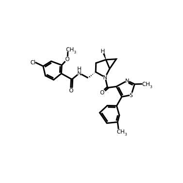 COc1cc(Cl)ccc1C(=O)NC[C@@H]1C[C@@H]2CC2N1C(=O)c1nc(C)sc1-c1cccc(C)c1